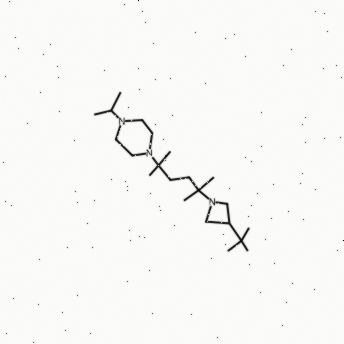 CC(C)N1CCN(C(C)(C)CCC(C)(C)N2CC(C(C)(C)C)C2)CC1